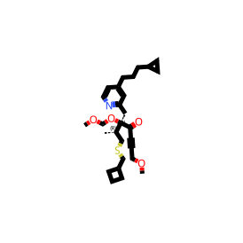 COCC#CC(=O)[C@](Cc1cc(CCCC2CC2)ccn1)(OCOC)[C@@H](C)CSCC1CCC1